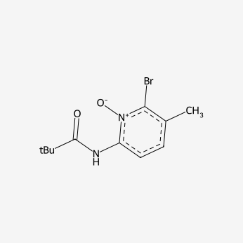 Cc1ccc(NC(=O)C(C)(C)C)[n+]([O-])c1Br